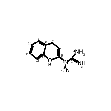 N#CN(C(=N)N)C1=CCc2ccccc2O1